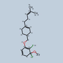 CCOC1(F)CC=CC(OCC2CC=C(CCC=C(C)C)CC2)=C1F